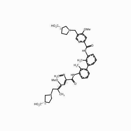 C=N/C(=C\C(OC)=C(/C)CN1CC[C@H](C(=O)O)C1)C(=O)Nc1cccc(-c2cccc(NC(=O)c3cc(OC)c(CN4CC[C@H](C(=O)O)C4)cn3)c2C)c1C